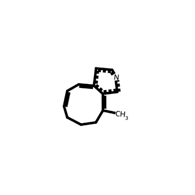 C\C1=c2/cncc/c2=C/C=C\CCC1